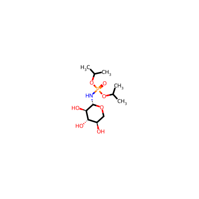 CC(C)OP(=O)(N[C@@H]1OC[C@@H](O)[C@H](O)[C@H]1O)OC(C)C